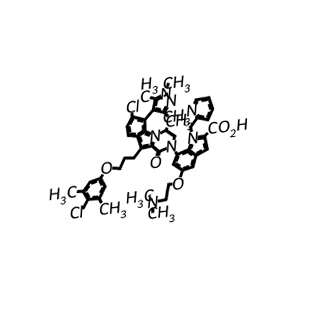 Cc1cc(OCCCc2c3n(c4c(-c5c(C)nn(C)c5C)c(Cl)ccc24)C(C)CN(c2cc(OCCN(C)C)cc4cc(C(=O)O)n(Cc5ccccn5)c24)C3=O)cc(C)c1Cl